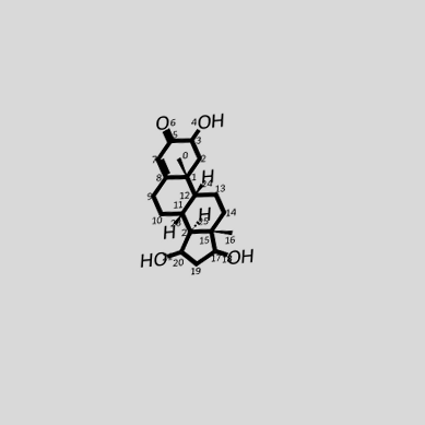 C[C@]12CC(O)C(=O)C=C1CC[C@@H]1[C@H]2CC[C@]2(C)C(O)CC(O)[C@@H]12